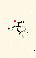 CCC(C)(CC(C)C)C(C)O